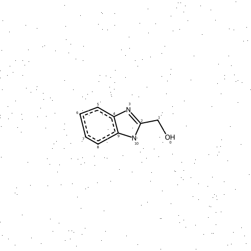 OCC1=Nc2ccccc2[N]1